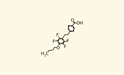 CCCCOc1c(F)c(F)c(CCc2ccc(C(=O)O)cc2)c(F)c1F